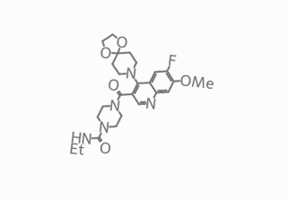 CCNC(=O)N1CCN(C(=O)c2cnc3cc(OC)c(F)cc3c2N2CCC3(CC2)OCCO3)CC1